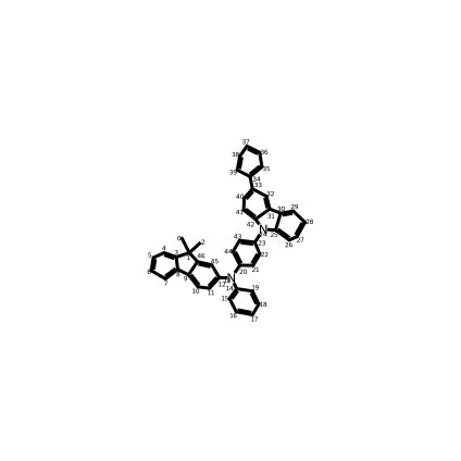 CC1(C)c2ccccc2-c2ccc(N(c3ccccc3)c3ccc(-n4c5ccccc5c5cc(-c6ccccc6)ccc54)cc3)cc21